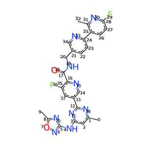 Cc1cc(Nc2noc(C)n2)nc(-c2cnc(C(=O)NCc3ccc(-c4ccc(F)nc4C)nc3)c(F)c2)n1